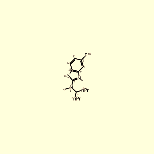 CCCC(CCC)N(C)c1nc2cc(F)ccc2s1